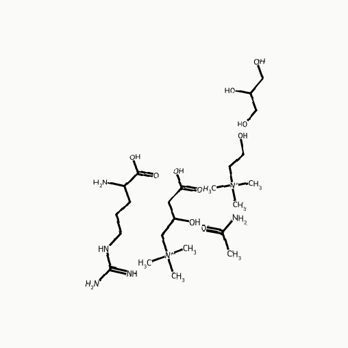 CC(N)=O.C[N+](C)(C)CC(O)CC(=O)O.C[N+](C)(C)CCO.N=C(N)NCCCC(N)C(=O)O.OCC(O)CO